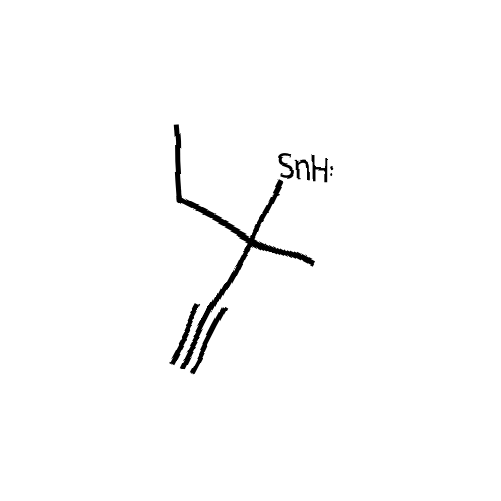 C#C[C](C)([SnH])CC